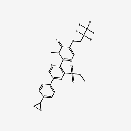 CCS(=O)(=O)c1cc(-c2ccc(C3CC3)cc2)cnc1-c1ncc(OCC(F)(F)C(F)(F)F)c(=O)n1C